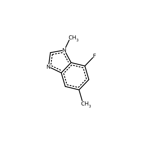 Cc1cc(F)c2c(c1)ncn2C